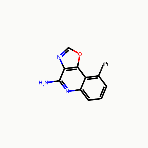 CC(C)c1cccc2nc(N)c3ncoc3c12